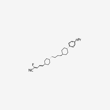 CCCc1ccc([C@H]2CC[C@H](CCCC[C@H]3CC[C@H](C=CC=C(F)C#N)CC3)CC2)cc1